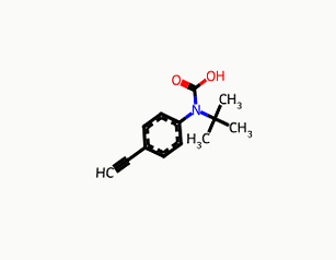 C#Cc1ccc(N(C(=O)O)C(C)(C)C)cc1